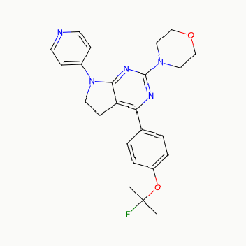 CC(C)(F)Oc1ccc(-c2nc(N3CCOCC3)nc3c2CCN3c2ccncc2)cc1